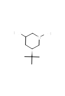 CC(C)(C)[C@H]1CC(O)CN(O)C1